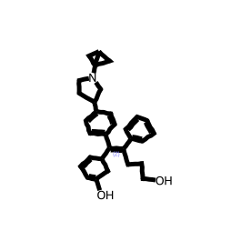 OCCC/C(=C(/c1ccc(C2CCN(C34CC3C4)C2)cc1)C1C=CC=C(O)C1)c1ccccc1